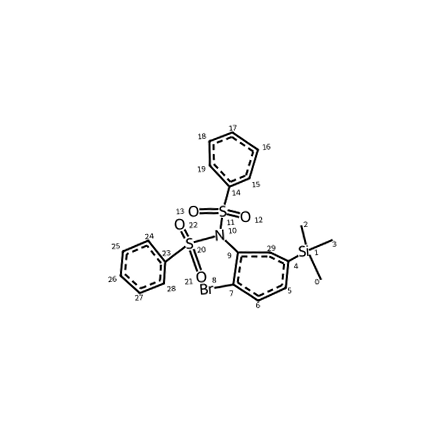 C[Si](C)(C)c1ccc(Br)c(N(S(=O)(=O)c2ccccc2)S(=O)(=O)c2ccccc2)c1